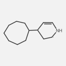 [CH]1CC(C2CCCCCCC2)C=CN1